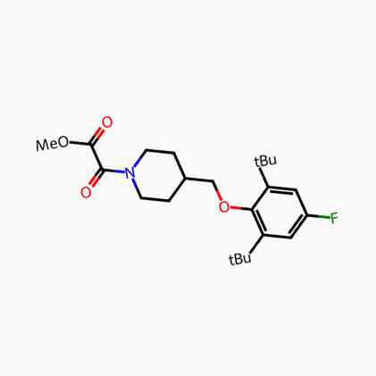 COC(=O)C(=O)N1CCC(COc2c(C(C)(C)C)cc(F)cc2C(C)(C)C)CC1